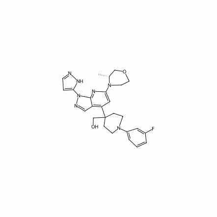 C[C@@H]1COCCN1c1cc(C2(CO)CCN(c3cccc(F)c3)CC2)c2cnn(-c3ccn[nH]3)c2n1